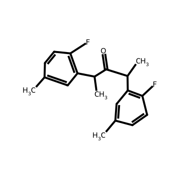 Cc1ccc(F)c(C(C)C(=O)C(C)c2cc(C)ccc2F)c1